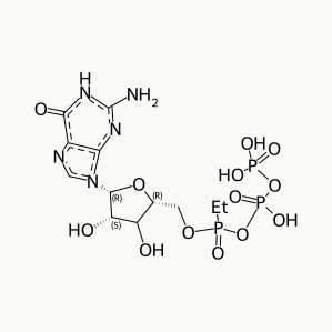 CCP(=O)(OC[C@H]1O[C@@H](n2cnc3c(=O)[nH]c(N)nc32)[C@@H](O)C1O)OP(=O)(O)OP(=O)(O)O